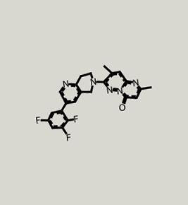 Cc1cc(=O)n2nc(N3CCc4ncc(-c5cc(F)cc(F)c5F)cc4C3)c(C)cc2n1